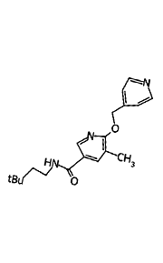 Cc1cc(C(=O)NCCC(C)(C)C)cnc1OCc1ccncc1